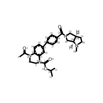 CC(=O)N1CCN(C(=O)OC(C)C)c2cc(-c3ccc(C(=O)N4C[C@H]5CCN(C)[C@H]5C4)cc3)ccc21